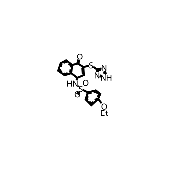 CCOc1ccc(S(=O)(=O)NC2C=C(Sc3nc[nH]n3)C(=O)c3ccccc32)cc1